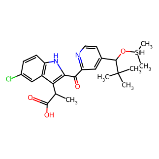 CC(C(=O)O)c1c(C(=O)c2cc(C(O[SiH](C)C)C(C)(C)C)ccn2)[nH]c2ccc(Cl)cc12